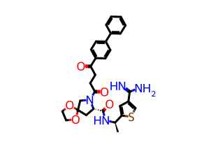 C[C@@H](NC(=O)[C@@H]1CC2(CN1C(=O)CCC(=O)c1ccc(-c3ccccc3)cc1)OCCO2)c1cc(C(=N)N)cs1